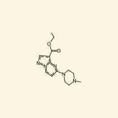 CCOC(=O)c1cnn2ccc(N3CCN(C)CC3)nc12